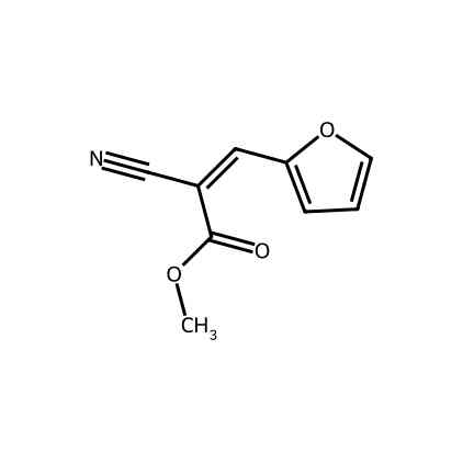 COC(=O)/C(C#N)=C\c1ccco1